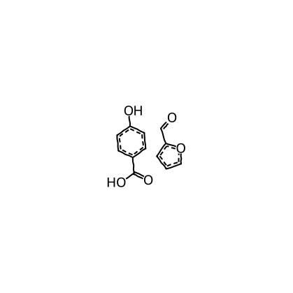 O=C(O)c1ccc(O)cc1.O=Cc1ccco1